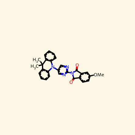 COc1ccc2c(c1)C(=O)N(c1ncc(N3c4ccccc4C(C)(C)c4ccccc43)cn1)C2=O